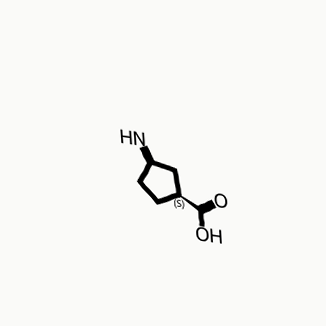 N=C1CC[C@H](C(=O)O)C1